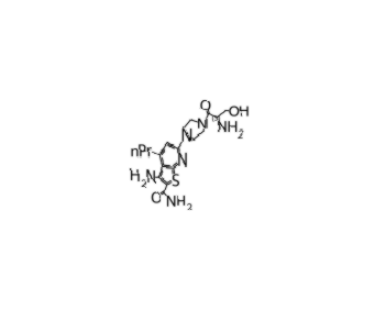 CCCc1cc(N2CCN(C(=O)[C@@H](N)CO)CC2)nc2sc(C(N)=O)c(N)c12